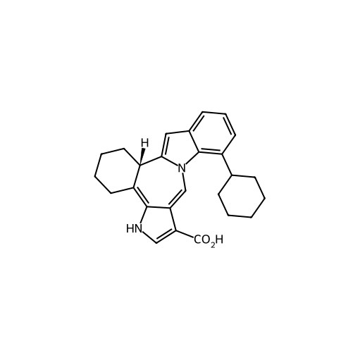 O=C(O)c1c[nH]c2c1=Cn1c(cc3cccc(C4CCCCC4)c31)[C@H]1CCCCC=21